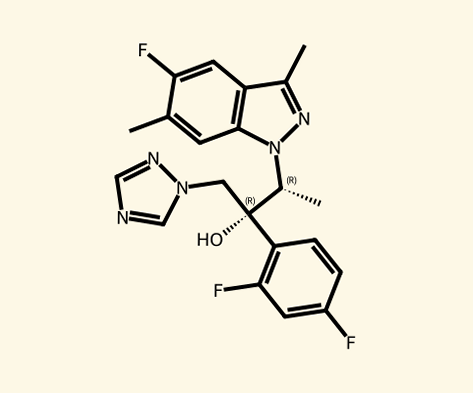 Cc1cc2c(cc1F)c(C)nn2[C@H](C)[C@](O)(Cn1cncn1)c1ccc(F)cc1F